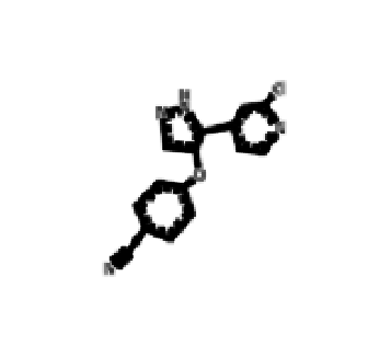 N#Cc1ccc(Oc2cn[nH]c2-c2ccnc(Cl)c2)cc1